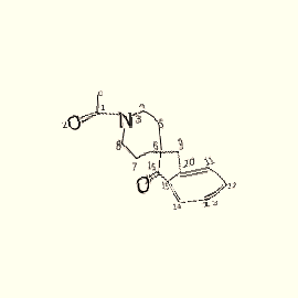 CC(=O)N1CCC2(CC1)Cc1ccccc1C2=O